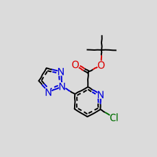 CC(C)(C)OC(=O)c1nc(Cl)ccc1-n1nccn1